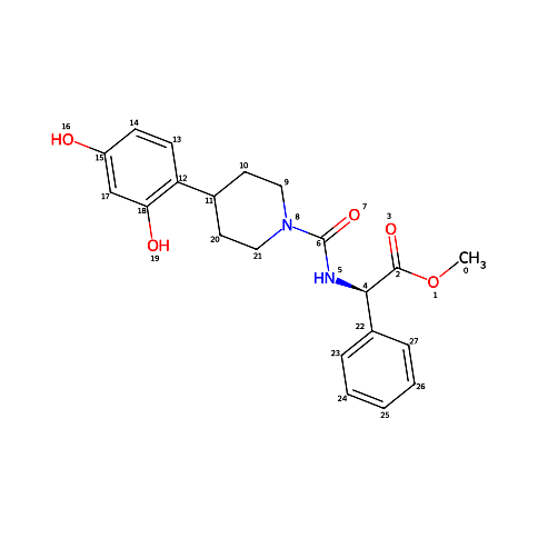 COC(=O)[C@H](NC(=O)N1CCC(c2ccc(O)cc2O)CC1)c1ccccc1